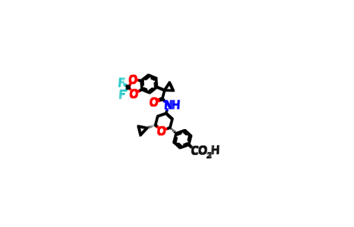 O=C(O)c1ccc([C@H]2CC(NC(=O)C3(c4ccc5c(c4)OC(F)(F)O5)CC3)C[C@@H](C3CC3)O2)cc1